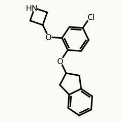 Clc1ccc(OC2Cc3ccccc3C2)c(OC2CNC2)c1